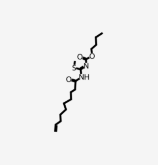 C=CCCCCCCCC(=O)NC(=NC(=O)OCCCC)SC